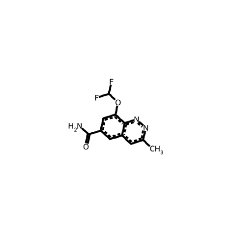 Cc1cc2cc(C(N)=O)cc(OC(F)F)c2nn1